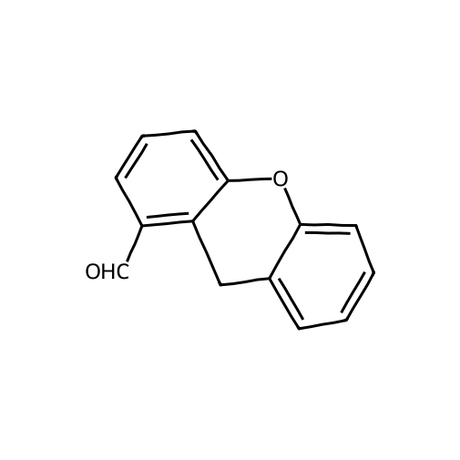 O=Cc1cccc2c1Cc1ccccc1O2